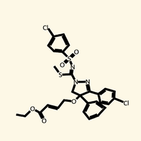 CCOC(=O)/C=C/COC1(c2ccccc2)CN(/C(=N/S(=O)(=O)c2ccc(Cl)cc2)SC)N=C1c1ccc(Cl)cc1